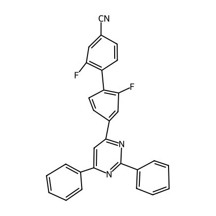 N#Cc1ccc(-c2ccc(-c3cc(-c4ccccc4)nc(-c4ccccc4)n3)cc2F)c(F)c1